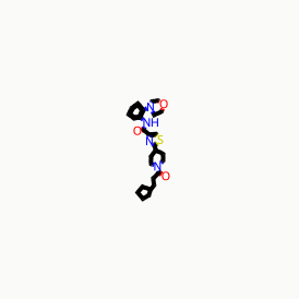 O=C(Nc1ccccc1N1CCOCC1)c1csc(C2CCN(C(=O)CCC3CCCC3)CC2)n1